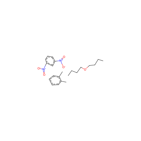 CCCCOCCCC.Cc1ccccc1C.O=[N+]([O-])c1cccc([N+](=O)[O-])c1